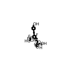 C[C@@](CCn1cc2c(F)c(C#Cc3ccc(CO)cc3)ccc2n1)(C(=O)NO)S(C)(=O)=O.O=C(O)C(F)(F)F